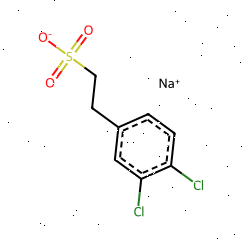 O=S(=O)([O-])CCc1ccc(Cl)c(Cl)c1.[Na+]